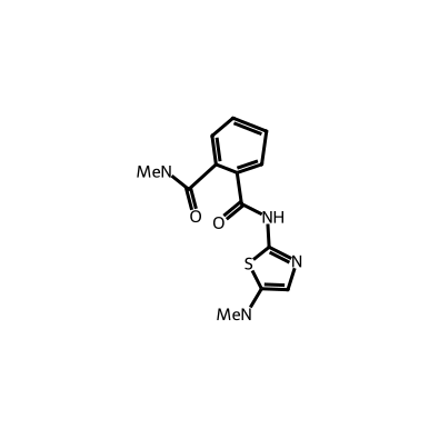 CNC(=O)c1ccccc1C(=O)Nc1ncc(NC)s1